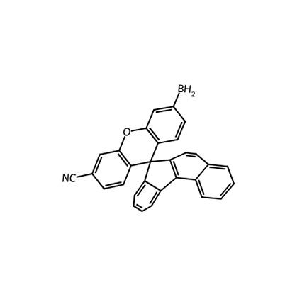 Bc1ccc2c(c1)Oc1cc(C#N)ccc1C21c2ccccc2-c2c1ccc1ccccc21